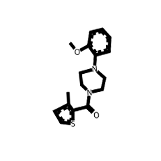 COc1ccccc1N1CCN(C(=O)c2sccc2C)CC1